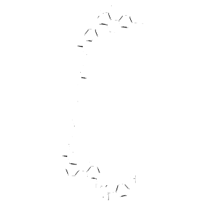 CCc1c(-c2ccc(C(=O)NCCNC(=O)CCOCCOCCOCCNC(=O)c3cccc(-c4nc(NC(=O)C5(c6ccc7c(c6)OC(F)(F)O7)CC5)ccc4C)c3)nc2)cnc(N)c1-c1ccc(O)cc1